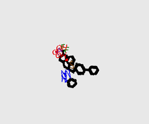 CSC1(CC(Cc2ccc(C(F)(F)P(=O)(O)O)cc2)(c2ccccc2)n2nnc3ccccc32)C=CC(c2ccccc2)=CC1